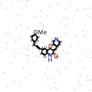 COc1ccc(CC#Cc2ccc3c(c2)C(=O)/C(=C\c2ccncc2)C(=O)N3)cc1